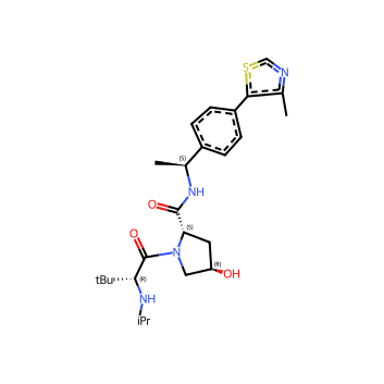 Cc1ncsc1-c1ccc([C@H](C)NC(=O)[C@@H]2C[C@@H](O)CN2C(=O)[C@H](NC(C)C)C(C)(C)C)cc1